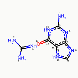 N=C(N)N.Nc1nc2nc[nH]c2c(=O)[nH]1